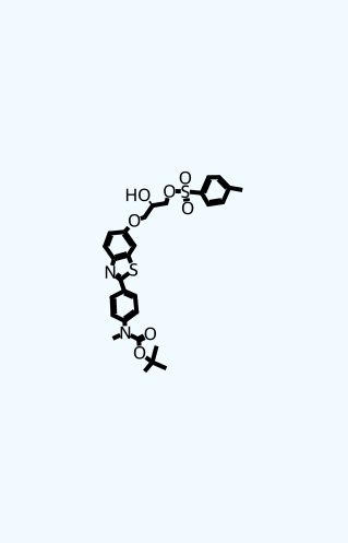 Cc1ccc(S(=O)(=O)OC[C@@H](O)COc2ccc3nc(-c4ccc(N(C)C(=O)OC(C)(C)C)cc4)sc3c2)cc1